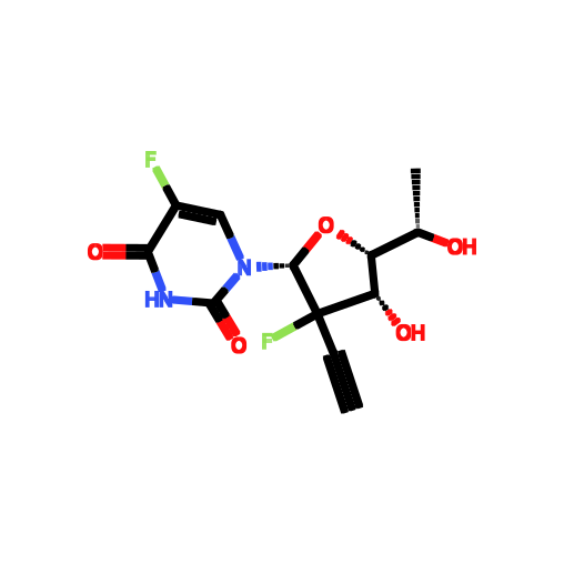 C#CC1(F)[C@@H](O)[C@@H]([C@H](C)O)O[C@H]1n1cc(F)c(=O)[nH]c1=O